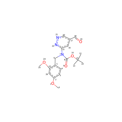 COc1ccc(CN(C(=O)OC(C)(C)C)c2cc(C=O)cnn2)c(OC)c1